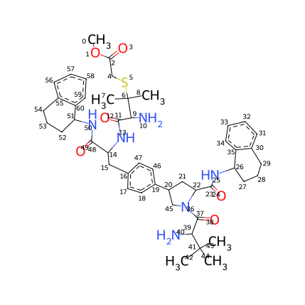 COC(=O)CSC(C)(C)C(N)C(=O)NC(Cc1ccc(C2CC(C(=O)NC3CCCc4ccccc43)N(C(=O)C(N)C(C)(C)C)C2)cc1)C(=O)NC1CCCc2ccccc21